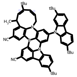 CC1/C=C(C(C)(C)C)\C=C/CN2c3cc(-n4c5cc(C(C)(C)C)ccc5c5ccc(C(C)(C)C)cc54)cc4c3B(c3cc(C#N)cc1c32)c1cc(C#N)cc2c3cc(C(C)(C)C)ccc3n-4c12